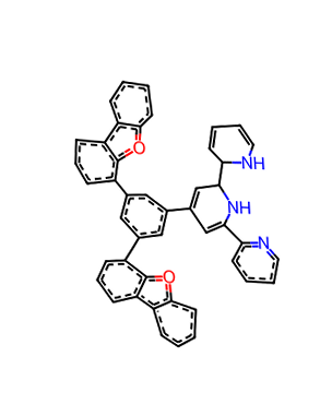 C1=CNC(C2C=C(c3cc(-c4cccc5c4oc4ccccc45)cc(-c4cccc5c4oc4ccccc45)c3)C=C(c3ccccn3)N2)C=C1